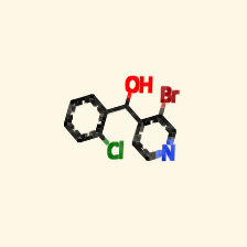 OC(c1ccccc1Cl)c1ccncc1Br